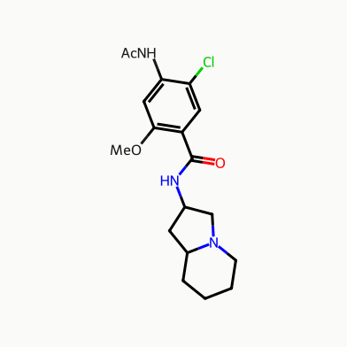 COc1cc(NC(C)=O)c(Cl)cc1C(=O)NC1CC2CCCCN2C1